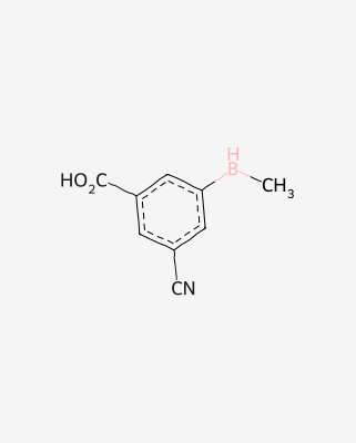 CBc1cc(C#N)cc(C(=O)O)c1